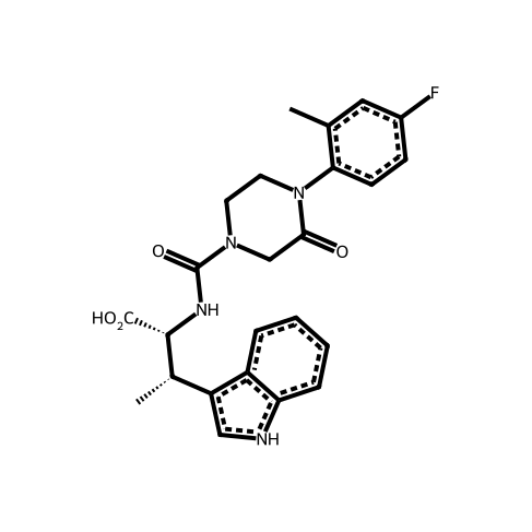 Cc1cc(F)ccc1N1CCN(C(=O)N[C@@H](C(=O)O)[C@@H](C)c2c[nH]c3ccccc23)CC1=O